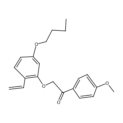 C=Cc1ccc(OCCCC)cc1OCC(=O)c1ccc(OC)cc1